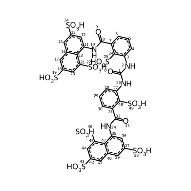 O=C(Nc1cccc(C(=O)Nc2cc(S(=O)(=O)O)cc3cc(S(=O)(=O)O)cc(S(=O)(=O)O)c23)c1S(=O)(=O)O)Nc1cccc(C(=O)Nc2cc(S(=O)(=O)O)cc3cc(S(=O)(=O)O)cc(S(=O)(=O)O)c23)c1S(=O)(=O)O